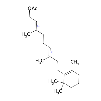 CC(=O)OC/C=C(\C)CC/C=C(\C)CCC1=C(C)CCCC1(C)C